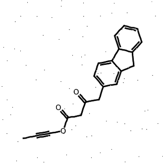 CC#COC(=O)CC(=O)Cc1ccc2c(c1)Cc1ccccc1-2